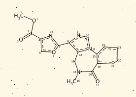 COC(=O)c1coc(-c2ncn3c2CN(C)C(=O)c2ccccc2-3)n1